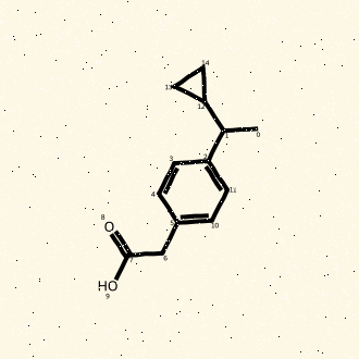 CC(c1ccc(CC(=O)O)cc1)C1CC1